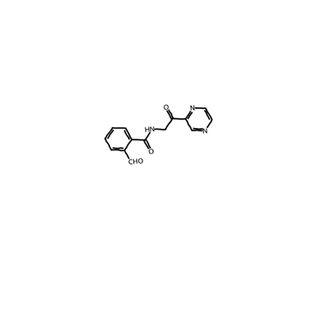 O=Cc1ccccc1C(=O)NCC(=O)c1cnccn1